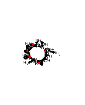 C[C@@H](O)[C@@H]1NC(=O)[C@@H](CCCCN)NC(=O)[C@H](Cc2c[nH]c3ccccc23)NC(=O)[C@H](Cc2ccccc2)NC(=O)[C@H](Cc2ccccc2)NC(=O)[C@H](CC(N)=O)NC(=O)[C@H](CCCCN)NC(=O)[C@@H](NC(=O)[C@@H]2CCCN2)CSSC[C@@H](C(=O)N[C@@H](CCCCN)C(=O)O)NC(=O)[C@H](CO)NC(=O)[C@H](CO)NC(=O)[C@@H](Cc2ccccc2)NC1=O